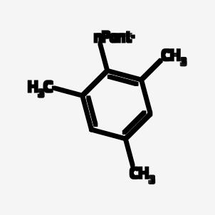 CCCC[CH]c1c(C)cc(C)cc1C